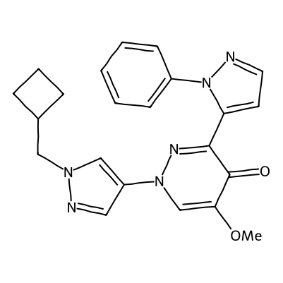 COc1cn(-c2cnn(CC3CCC3)c2)nc(-c2ccnn2-c2ccccc2)c1=O